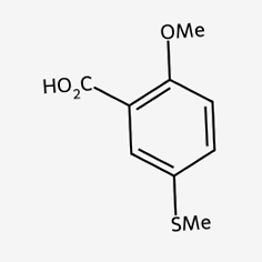 COc1ccc(SC)cc1C(=O)O